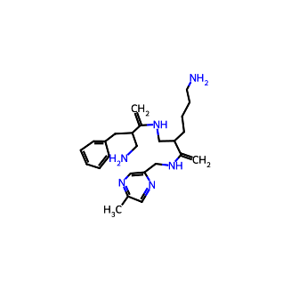 C=C(NCc1cnc(C)cn1)C(CCCCN)CNC(=C)C(CN)Cc1ccccc1